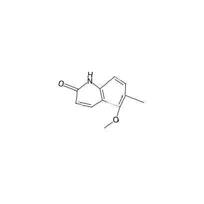 COc1c(C)ccc2[nH]c(=O)ccc12